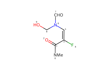 CNC(=O)/C(F)=C\N(C=O)CO